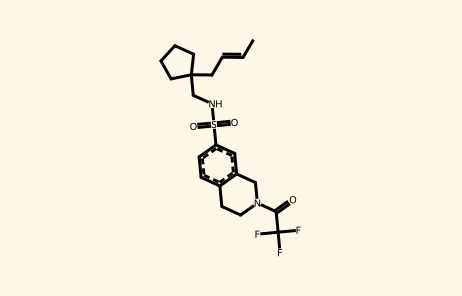 C/C=C/CC1(CNS(=O)(=O)c2ccc3c(c2)CN(C(=O)C(F)(F)F)CC3)CCCC1